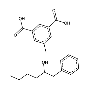 CCCCC(O)Cc1ccccc1.Cc1cc(C(=O)O)cc(C(=O)O)c1